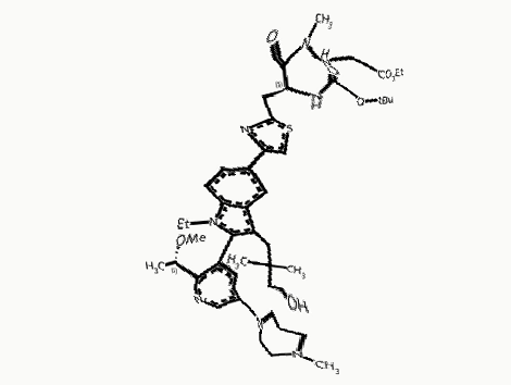 CCOC(=O)CNN(C)C(=O)[C@H](Cc1nc(-c2ccc3c(c2)c(CC(C)(C)CO)c(-c2cc(N4CCN(C)CC4)cnc2[C@H](C)OC)n3CC)cs1)NC(=O)OC(C)(C)C